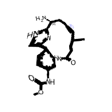 COC(=O)Nc1ccc2c(c1)NC(=O)CC(C)/C=C/C[C@H](N)c1nc-2c[nH]1